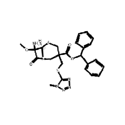 COC1(N)C(=O)N2CC(CSc3nnnn3C)(C(=O)OC(c3ccccc3)c3ccccc3)CS[C@@H]21